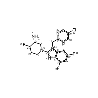 N[C@@H]1CN(c2nc3c(F)cc(F)cc3n2Cc2ncc(Cl)cn2)CCC1F